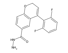 NNC(=O)c1ccc2c(c1)C(c1c(F)cccc1F)=CCO2